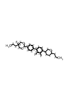 CCCC1CCC(c2ccc(-c3ccc(C4OCC(F)(CCC)CO4)cc3)c(F)c2F)CO1